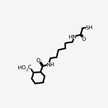 O=C(CS)NCCCCCCNC(=O)C1CCCCC1C(=O)O